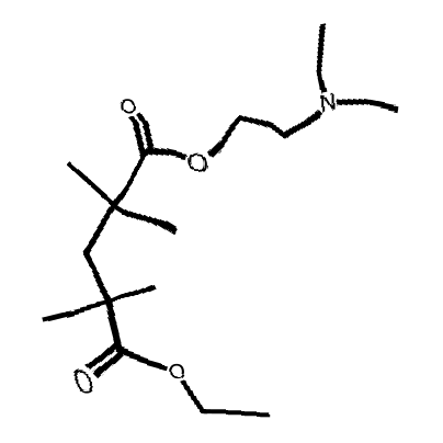 CCOC(=O)C(C)(C)CC(C)(C)C(=O)OCCN(C)C